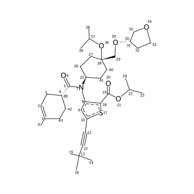 CC1=CC[C@H](C(=O)N(c2cc(C#CC(C)(C)C)sc2C(=O)OC(C)C)[C@H]2CC[C@](CO[C@H]3CCOC3)(OC(C)C)CC2)CC1